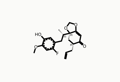 C=CC[C@@H]1C[C@]2([C@@H](C)Cc3cc(O)c(OC)cc3F)OCOC2=CC1=O